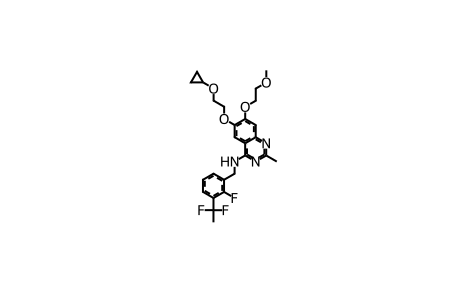 COCCOc1cc2nc(C)nc(NCc3cccc(C(C)(F)F)c3F)c2cc1OCCOC1CC1